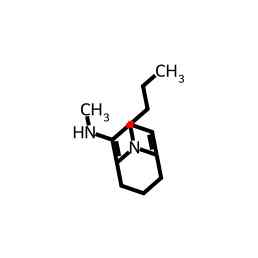 CCCCN1C2=CCC(NC)=C1CCC2